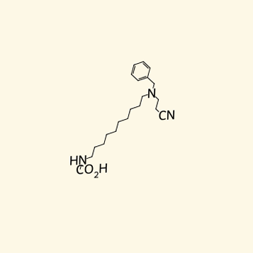 N#CCCN(CCCCCCCCCCNC(=O)O)Cc1ccccc1